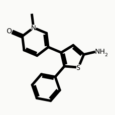 Cn1cc(-c2cc(N)sc2-c2ccccc2)ccc1=O